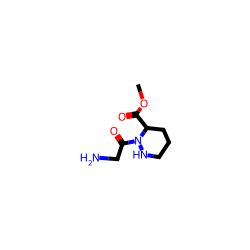 COC(=O)C1CCCNN1C(=O)CN